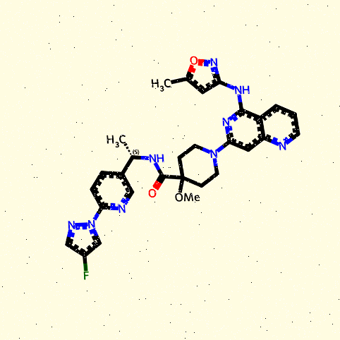 COC1(C(=O)N[C@@H](C)c2ccc(-n3cc(F)cn3)nc2)CCN(c2cc3ncccc3c(Nc3cc(C)on3)n2)CC1